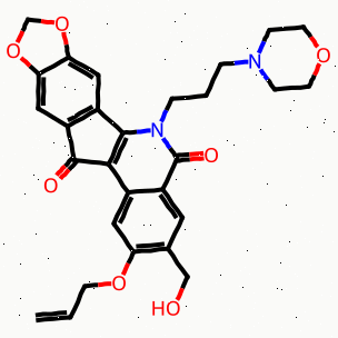 C=CCOc1cc2c3c(n(CCCN4CCOCC4)c(=O)c2cc1CO)-c1cc2c(cc1C3=O)OCO2